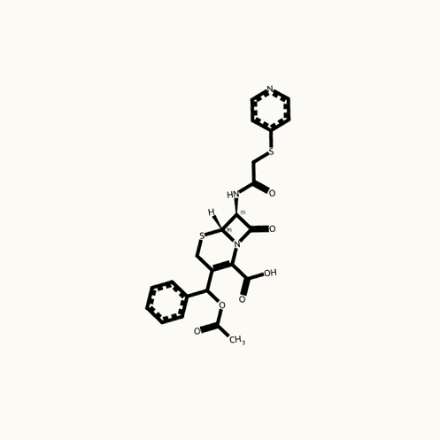 CC(=O)OC(C1=C(C(=O)O)N2C(=O)[C@H](NC(=O)CSc3ccncc3)[C@H]2SC1)c1ccccc1